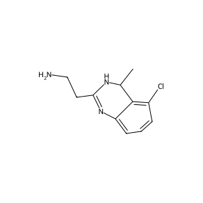 CC1NC(CCN)=Nc2cccc(Cl)c21